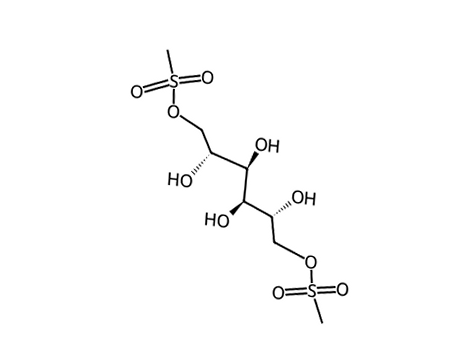 CS(=O)(=O)OC[C@@H](O)[C@@H](O)[C@H](O)[C@H](O)COS(C)(=O)=O